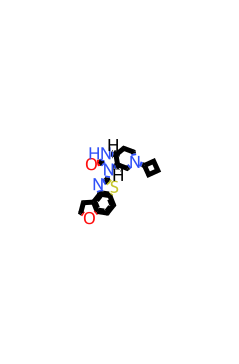 O=C1N[C@H]2CCN(C3CCC3)C[C@H]2N1c1nc2c3c(ccc2s1)OCC3